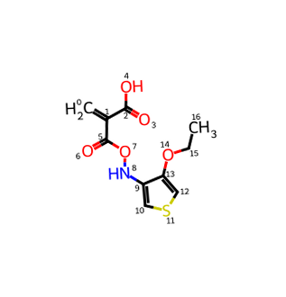 C=C(C(=O)O)C(=O)ONc1cscc1OCC